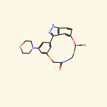 C[C@H]1CCNC(=O)COc2cc(cc(N3CCOCC3)c2)-c2n[nH]c3ccc(cc23)O1